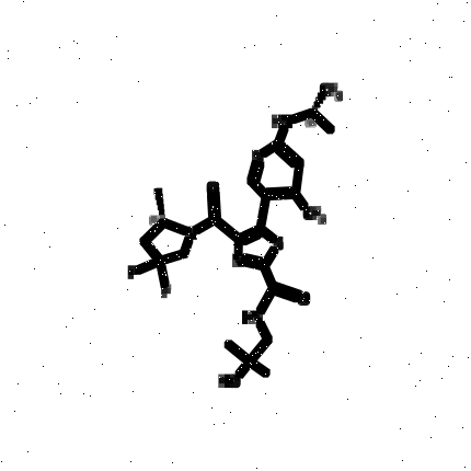 C[C@H](Nc1cc(C(F)(F)F)c(-c2sc(C(=O)NCC(C)(C)O)nc2C(=O)N2CC(F)(F)C[C@@H]2C)cn1)C(F)(F)F